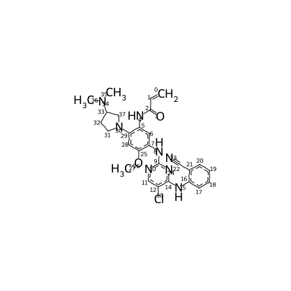 C=CC(=O)Nc1cc(Nc2ncc(Cl)c(Nc3ccccc3C#N)n2)c(OC)cc1N1CCC(N(C)C)C1